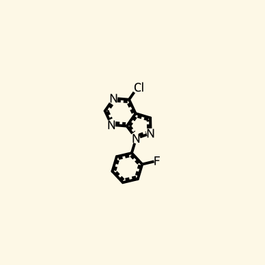 Fc1ccccc1-n1ncc2c(Cl)ncnc21